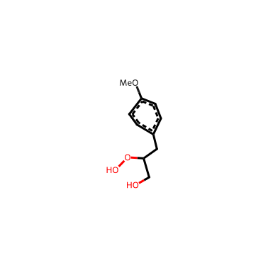 COc1ccc(CC(CO)OO)cc1